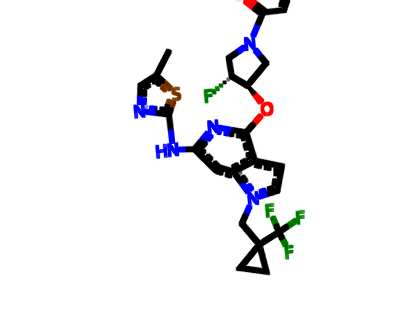 C=CC(=O)N1C[C@@H](F)[C@H](Oc2nc(Nc3ncc(C)s3)cc3c2ccn3CC2(C(F)(F)F)CC2)C1